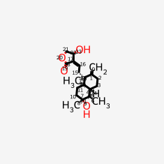 C=C1CC[C@@H]2[C@@H](C)[C@](C)(O)CC[C@@]2(C)[C@@H]1CC=C1C(=O)OCC1O